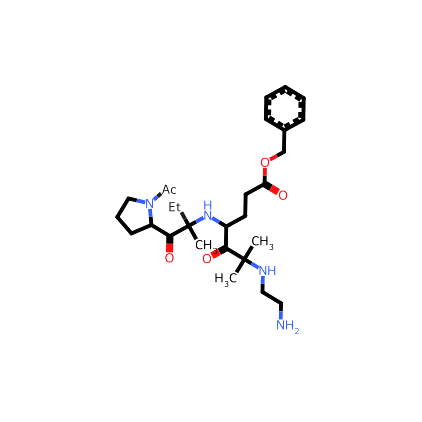 CCC(C)(NC(CCC(=O)OCc1ccccc1)C(=O)C(C)(C)NCCN)C(=O)C1CCCN1C(C)=O